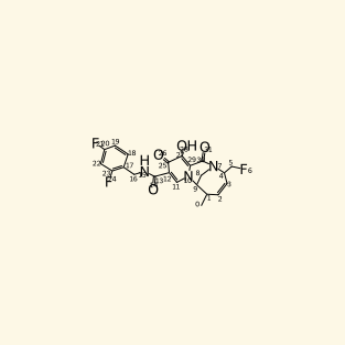 CC1C=CC(CF)N2CC1n1cc(C(=O)NCc3ccc(F)cc3F)c(=O)c(O)c1C2=O